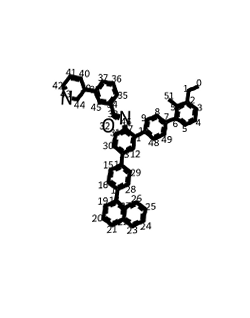 CCc1cccc(-c2ccc(-c3cc(-c4ccc(-c5cccc6ccccc56)cc4)cc4oc(-c5cccc(C6C=CC=NC6)c5)nc34)cc2)c1C